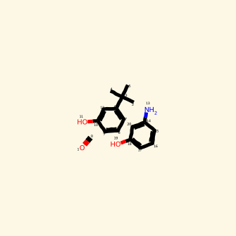 C=O.CC(C)(C)c1cccc(O)c1.Nc1cccc(O)c1